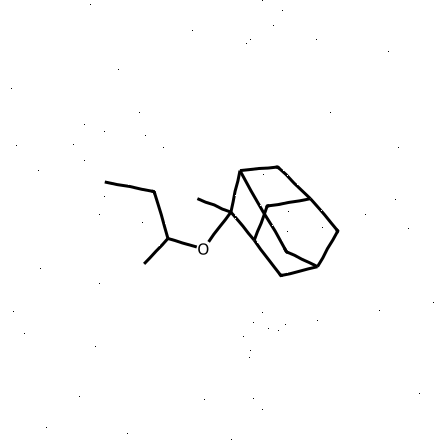 CCC(C)OC1(C)C2CC3CC(C2)CC1C3